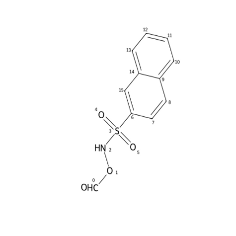 O=CONS(=O)(=O)c1ccc2ccccc2c1